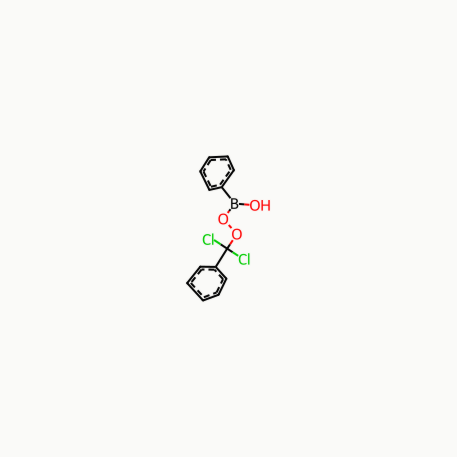 OB(OOC(Cl)(Cl)c1ccccc1)c1ccccc1